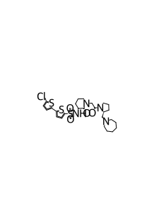 O=C1[C@@H](NS(=O)(=O)c2ccc(-c3ccc(Cl)s3)s2)CCCN1CC(=O)N1CCC[C@H]1CN1CCCCCC1